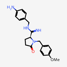 COc1ccc(CN2C(=O)CC[C@H]2C(=N)NCc2ccc(N)cc2)cc1